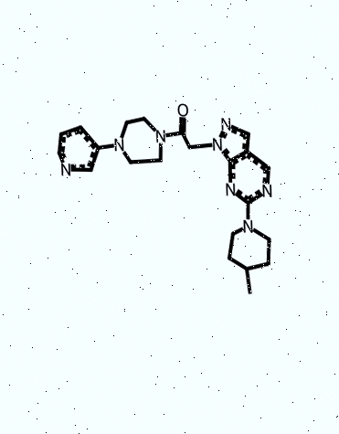 CC1CCN(c2ncc3cnn(CC(=O)N4CCN(c5cccnc5)CC4)c3n2)CC1